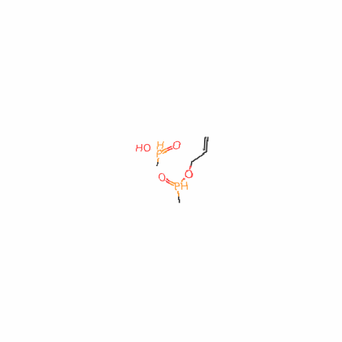 C=CCO[PH](C)=O.C[PH](=O)O